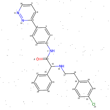 O=C(Nc1ccc(-c2cccnn2)cc1)C(NCCc1ccc(Cl)cc1)c1ccccc1